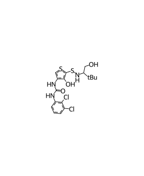 CC(C)(C)C(CO)NSc1scc(NC(=O)Nc2cccc(Cl)c2Cl)c1O